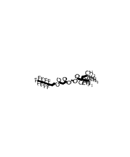 CCC(C)(C)C(C)(CC(C)C)C(=O)OCOC(=O)CC(=O)OCCC(F)(F)C(F)(F)C(F)(F)C(F)(F)F